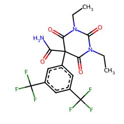 CCN1C(=O)N(CC)C(=O)C(C(N)=O)(c2cc(C(F)(F)F)cc(C(F)(F)F)c2)C1=O